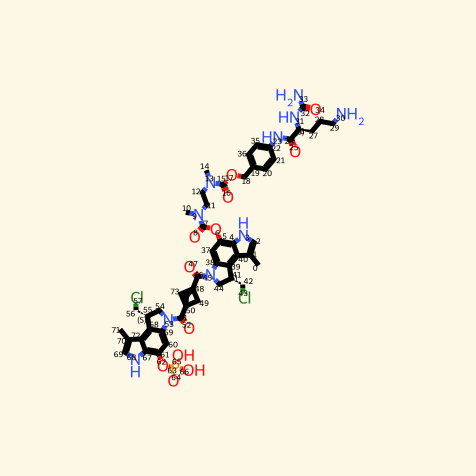 Cc1c[nH]c2c(OC(=O)N(C)CCN(C)C(=O)OCc3ccc(NC(=O)[C@H](CCCN)NC(N)=O)cc3)cc3c(c12)[C@H](CCl)CN3C(=O)C12CC(C(=O)N3C[C@@H](CCl)c4c3cc(OP(=O)(O)O)c3[nH]cc(C)c43)(C1)C2